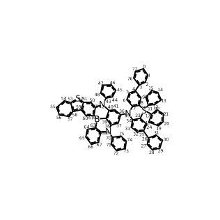 c1ccc(-c2ccc3c(c2)S(c2ccccc2)(c2ccccc2)c2cc(-c4ccccc4)ccc2N3c2cc3c4c(c2)N(c2ccccc2)c2cc5sc6ccccc6c5cc2B4c2ccccc2N3c2ccccc2)cc1